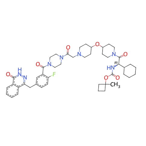 CC1(OC(=O)N[C@@H](C(=O)N2CCC(OC3CCN(CC(=O)N4CCN(C(=O)c5cc(Cc6n[nH]c(=O)c7ccccc67)ccc5F)CC4)CC3)CC2)C2CCCCC2)CCC1